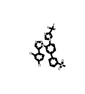 CS(=O)(=O)c1cccc(-c2ccc(-n3cnc(C(F)(F)F)c3)c(-n3nncc3-c3ccc(Cl)cc3Cl)c2)c1